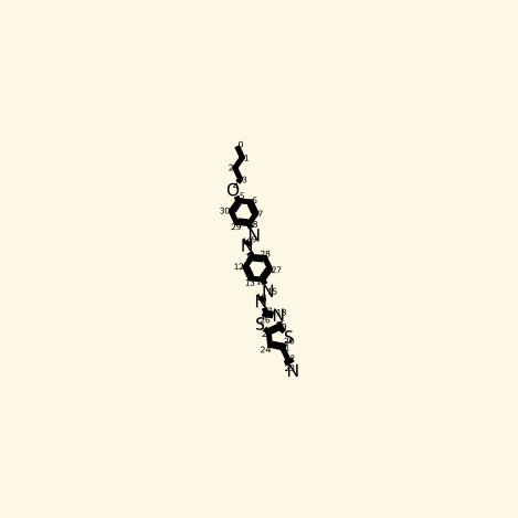 CCCCOc1ccc(N=Nc2ccc(N=Nc3nc4sc(C#N)cc4s3)cc2)cc1